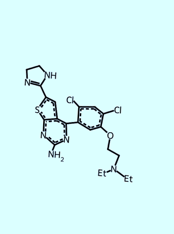 CCN(CC)CCOc1cc(-c2nc(N)nc3sc(C4=NCCN4)cc23)c(Cl)cc1Cl